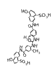 Cc1cc(C(=O)Nc2ccc3c(O)ccc(S(=O)(=O)O)c3c2)ccc1NC(=O)Nc1ccc(C(=O)Nc2ccc3c(O)ccc(S(=O)(=O)O)c3c2)cc1C